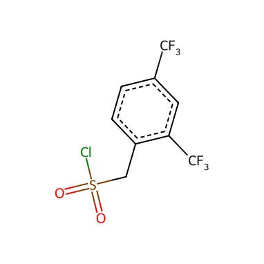 O=S(=O)(Cl)Cc1ccc(C(F)(F)F)cc1C(F)(F)F